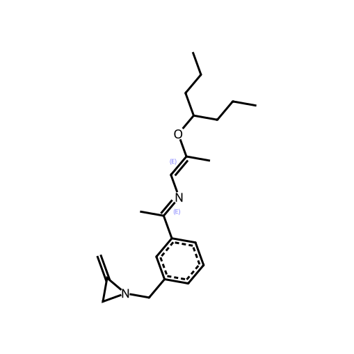 C=C1CN1Cc1cccc(/C(C)=N/C=C(\C)OC(CCC)CCC)c1